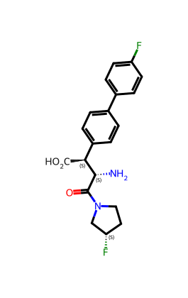 N[C@H](C(=O)N1CC[C@H](F)C1)[C@@H](C(=O)O)c1ccc(-c2ccc(F)cc2)cc1